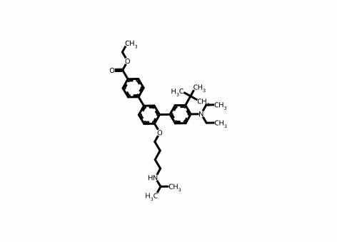 CCOC(=O)c1ccc(-c2ccc(OCCCCNC(C)C)c(-c3ccc(N(CC)CC)c(C(C)(C)C)c3)c2)cc1